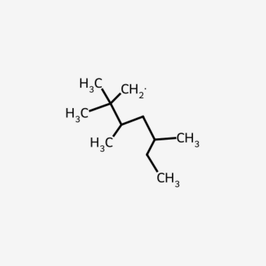 [CH2]C(C)(C)C(C)CC(C)CC